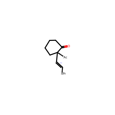 CCC/C=C/C1(C(C)=O)CCCCC1=O